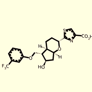 O=C(O)c1csc([C@H]2CC[C@@H]3[C@@H](COc4cccc(C(F)(F)F)c4)[C@H](O)C[C@@H]3O2)n1